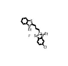 CCN1C(=CC=C[c+]2[se]c3ccc(Cl)cc3n2CC)Sc2ccccc21.[I-]